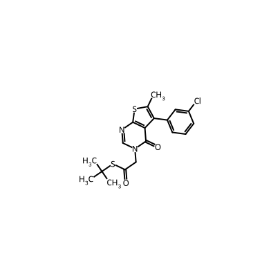 Cc1sc2ncn(CC(=O)SC(C)(C)C)c(=O)c2c1-c1cccc(Cl)c1